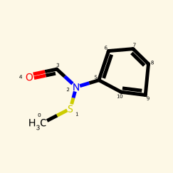 CSN(C=O)c1ccccc1